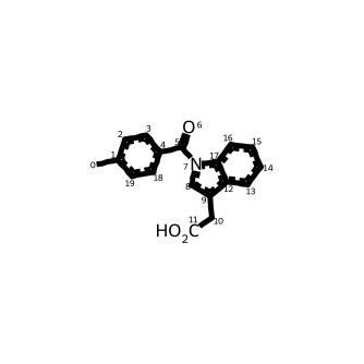 Cc1ccc(C(=O)n2cc(CC(=O)O)c3ccccc32)cc1